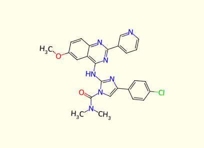 COc1ccc2nc(-c3cccnc3)nc(Nc3nc(-c4ccc(Cl)cc4)cn3C(=O)N(C)C)c2c1